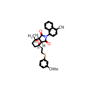 COc1cccc(SCC[C@@]23CC[C@@](C)(O2)[C@H]2C(=O)N(c4ccc(C#N)c5ccccc45)C(=O)[C@H]23)c1